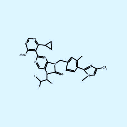 COc1ncnc(C2CC2)c1-c1ncc2c(n1)n(Cc1ccc(-c3nc(C(F)(F)F)cn3C)c(C)c1)c(=N)n2C(F)C(F)F